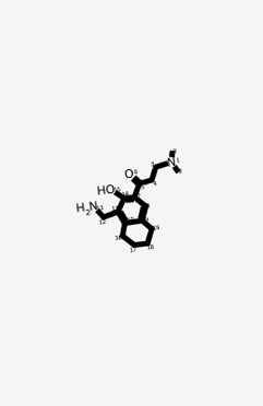 CN(C)CCC(=O)c1cc2c(c(CN)c1O)CCCC2